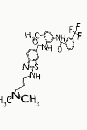 Cc1ccc(NC(=O)c2cccc(C(F)(F)F)c2)cc1NC(=O)c1ccc2nc(NCCCN(C)C)sc2c1